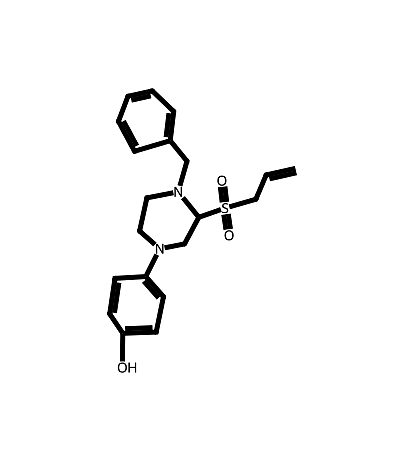 C=CCS(=O)(=O)C1CN(c2ccc(O)cc2)CCN1Cc1ccccc1